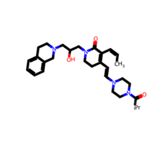 C/C=C\C1=C(/C=C/N2CCN(C(=O)C(C)C)CC2)CCN(CC(O)CN2CCc3ccccc3C2)C1=O